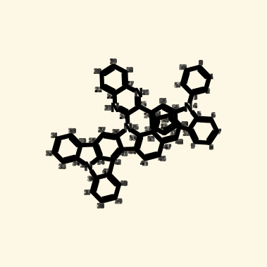 c1ccc(-n2c3ccccc3c3ccc(-c4nc5ccccc5nc4-n4c5cc6c7ccccc7n7c8ccccc8c(c5c5ccc8ccccc8c54)c67)cc32)cc1